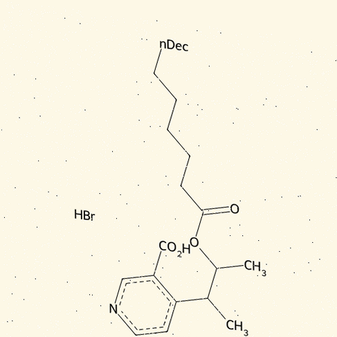 Br.CCCCCCCCCCCCCCCC(=O)OC(C)C(C)c1ccncc1C(=O)O